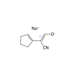 N#C/C(=C\[O-])C1=CCCC1.[Na+]